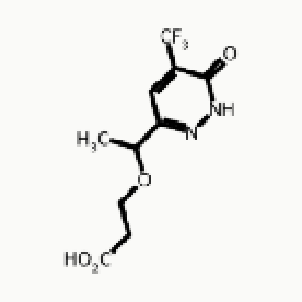 CC(OCCC(=O)O)c1cc(C(F)(F)F)c(=O)[nH]n1